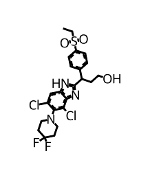 CCS(=O)(=O)c1ccc(C(CCO)c2nc3c(Cl)c(N4CCC(F)(F)CC4)c(Cl)cc3[nH]2)cc1